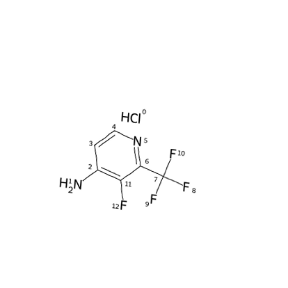 Cl.Nc1ccnc(C(F)(F)F)c1F